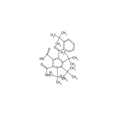 CC(C)(C)c1ccccc1C(=O)c1c(C(=O)O)c(C(=O)O)c(C(C)(C)C)c(C(C)(C)C)c1C(C)(C)C